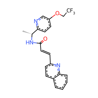 C[C@@H](NC(=O)/C=C/c1ccc2ccccc2n1)c1ccc(OCC(F)(F)F)cn1